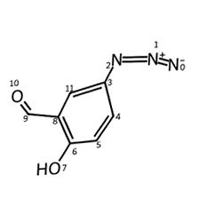 [N-]=[N+]=Nc1ccc(O)c(C=O)c1